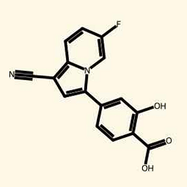 N#Cc1cc(-c2ccc(C(=O)O)c(O)c2)n2cc(F)ccc12